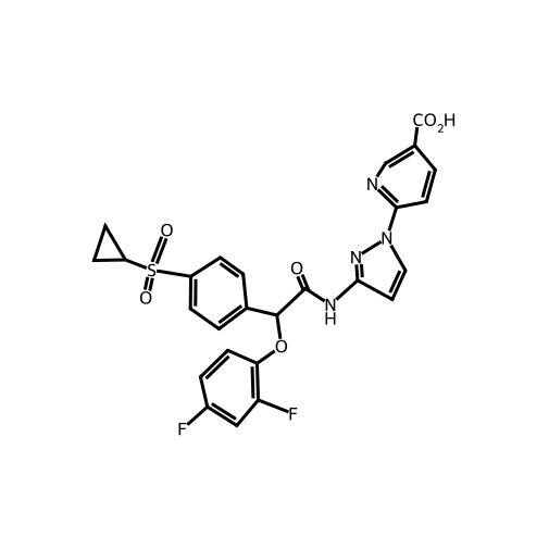 O=C(O)c1ccc(-n2ccc(NC(=O)C(Oc3ccc(F)cc3F)c3ccc(S(=O)(=O)C4CC4)cc3)n2)nc1